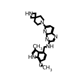 COc1ccc(CNc2cnc3ccc(N4CCC5(CC4)CNC5)nc3n2)c2c(C)c[nH]c12